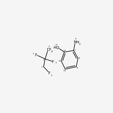 FCC(F)(F)C(F)(F)F.Nc1ccccc1O